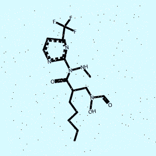 CCCCCC(CN(O)C=O)C(=O)N(NC)c1nccc(C(F)(F)F)n1